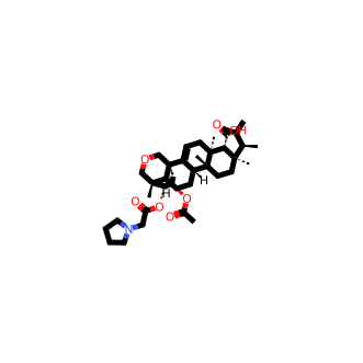 CC(=O)O[C@@H]1C[C@@]23COC[C@](C)([C@@H]2CC[C@H]2C3=CC[C@@]3(C)[C@H](C(=O)O)[C@@](C)([C@H](C)C(C)C)CC[C@]23C)[C@H]1OC(=O)CN1CCCC1